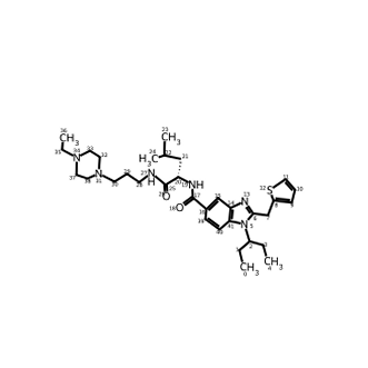 CCC(CC)n1c(Cc2cccs2)nc2cc(C(=O)N[C@@H](CC(C)C)C(=O)NCCCN3CCN(CC)CC3)ccc21